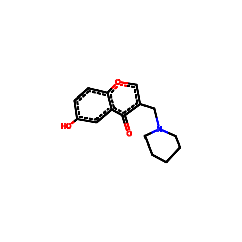 O=c1c(CN2CCCCC2)coc2ccc(O)cc12